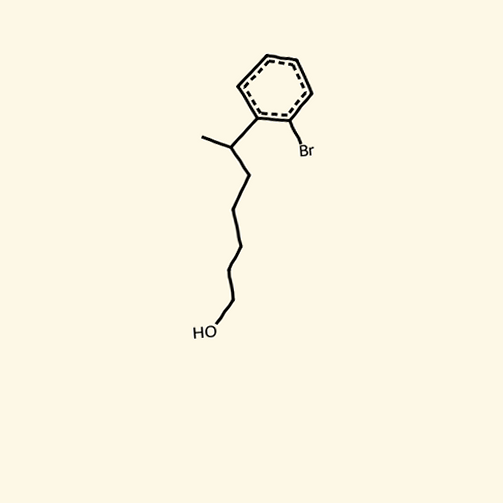 CC(CCCCCO)c1ccccc1Br